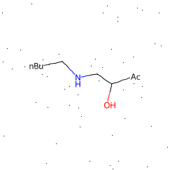 CCCCCNCC(O)C(C)=O